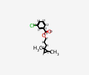 CC1CC1(C)CCCOC(=O)c1[c]ccc(Cl)c1